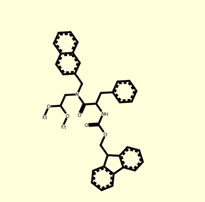 CCOC(CN(Cc1ccc2ccccc2c1)C(=O)C(Cc1ccccc1)NC(=O)OCC1c2ccccc2-c2ccccc21)OCC